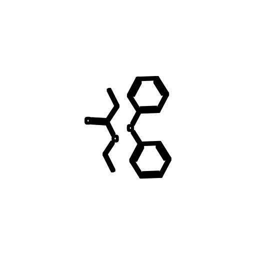 CCOC(=O)CC.c1ccc(Oc2ccccc2)cc1